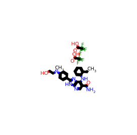 CCc1ccccc1Nc1c(C(N)=O)cnc2[nH]c(-c3ccc(N(C)CCO)cc3)nc12.O=C(O)C(F)(F)F.O=C(O)C(F)(F)F